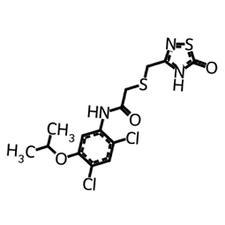 CC(C)Oc1cc(NC(=O)CSCc2nsc(=O)[nH]2)c(Cl)cc1Cl